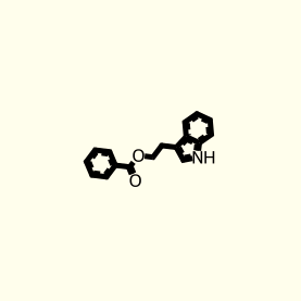 O=C(OCCc1c[nH]c2ccccc12)c1ccccc1